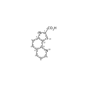 O=C(O)c1nc2ccc3cccnc3c2s1